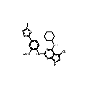 COc1cc(-c2ncn(C)n2)ccc1Nc1nc(NC2CCCCC2)c2c(C#N)c[nH]c2n1